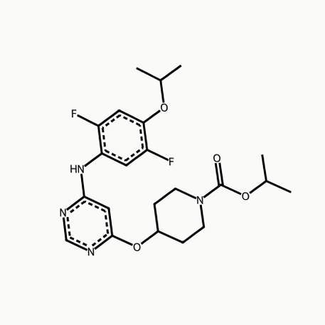 CC(C)OC(=O)N1CCC(Oc2cc(Nc3cc(F)c(OC(C)C)cc3F)ncn2)CC1